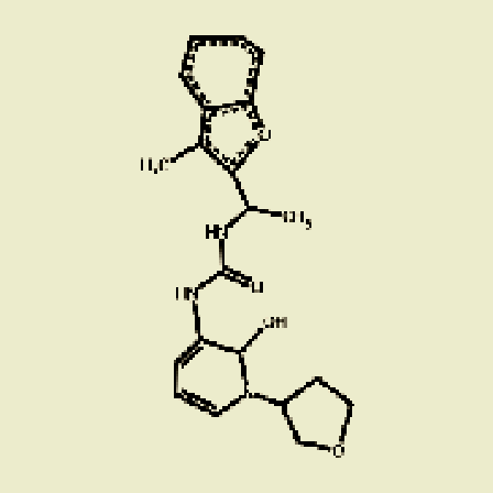 Cc1c(C(C)NC(=O)NC2=CC=CN(C3CCOC3)C2O)oc2ccccc12